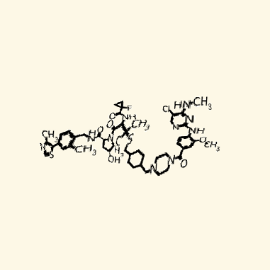 CNc1nc(Nc2ccc(C(=O)N3CCN(CC4CCC(CSC(C)(C)C(NC(=O)C5(F)CC5)C(=O)N5C[C@H](O)C[C@H]5C(=O)NCc5ccc(-c6scnc6C)cc5C)CC4)CC3)cc2OC)ncc1Cl